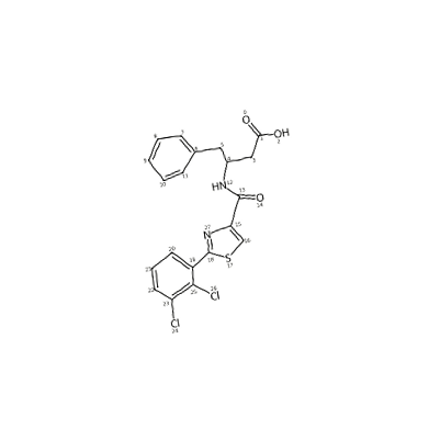 O=C(O)CC(Cc1ccccc1)NC(=O)c1csc(-c2cccc(Cl)c2Cl)n1